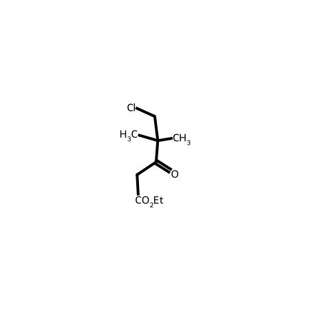 CCOC(=O)CC(=O)C(C)(C)CCl